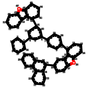 c1ccc(-c2cc(-c3ccc(-c4cccc5oc6ccc(-c7cc8ccccc8c8ccccc78)cc6c45)cc3)cc(-c3cccc4oc5ccccc5c34)c2)cc1